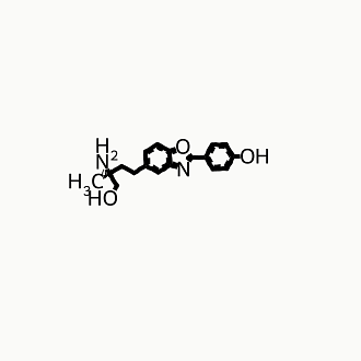 C[C@](N)(CO)CCc1ccc2oc(-c3ccc(O)cc3)nc2c1